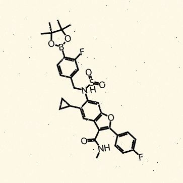 CNC(=O)c1c(-c2ccc(F)cc2)oc2cc(N(Cc3ccc(B4OC(C)(C)C(C)(C)O4)c(F)c3)[SH](=O)=O)c(C3CC3)cc12